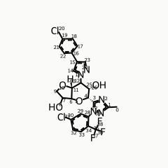 Cc1nc([C@@H]2OC3C(O)CO[C@@H]3C(n3cc(-c4ccc(Cl)cc4)cn3)[C@@H]2O)n(-c2cc(Cl)ccc2C(F)(F)F)n1